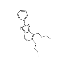 CCCCc1ccc2nn(-c3ccccc3)nc2c1CCCC